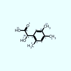 Cc1cc(C)c([C@@H](O)C(=O)O)cc1C